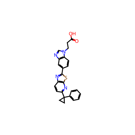 O=C(O)CCn1cnc2cc(-c3nc4ccc(C5(c6ccccc6)CC5)nc4s3)ccc21